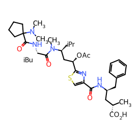 CC[C@H](C)[C@H](NC(=O)C1(N(C)C)CCCC1)C(=O)N(C)[C@H](C[C@@H](OC(C)=O)c1nc(C(=O)N[C@@H](Cc2ccccc2)C[C@H](C)C(=O)O)cs1)C(C)C